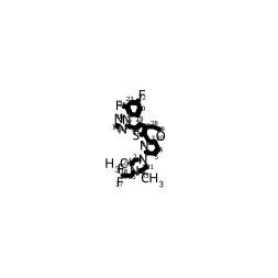 C[C@@H]1CN(c2ccc3c(n2)-c2sc(-c4ncnn4-c4ccc(F)cc4F)cc2CCO3)C[C@H](C)N1CC(F)F